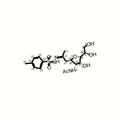 CC(=O)N[C@H]1[C@@H](O)[C@@H]([C@H](O)CO)O[C@@H]1CC(C)=NNS(=O)(=O)c1ccc(C)cc1